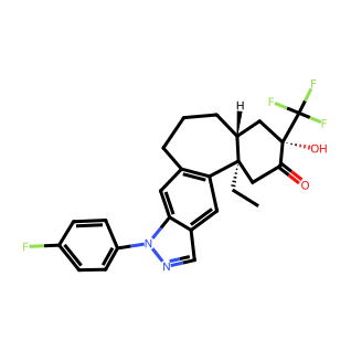 CC[C@@]12CC(=O)[C@](O)(C(F)(F)F)C[C@H]1CCCc1cc3c(cnn3-c3ccc(F)cc3)cc12